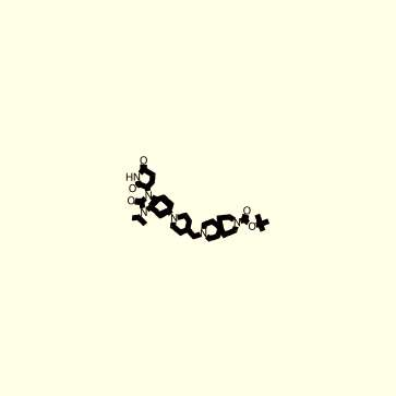 CC(C)n1c(=O)n(C2CCC(=O)NC2=O)c2ccc(N3CCC(CN4CCC5(CC4)CCN(C(=O)OC(C)(C)C)CC5)CC3)cc21